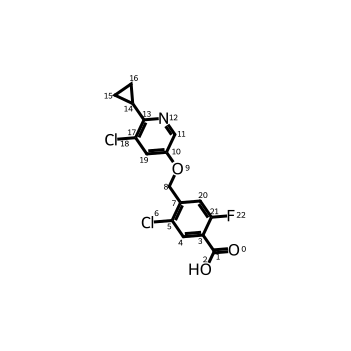 O=C(O)c1cc(Cl)c(COc2cnc(C3CC3)c(Cl)c2)cc1F